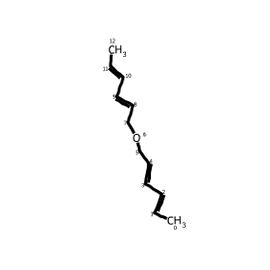 CC=CC=CCOCC=CC=CC